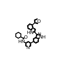 O=C(Nc1cncc(-c2ccc3[nH]nc(-c4cc5c(-c6ccoc6)cccc5[nH]4)c3c2)c1)C1CCCCC1